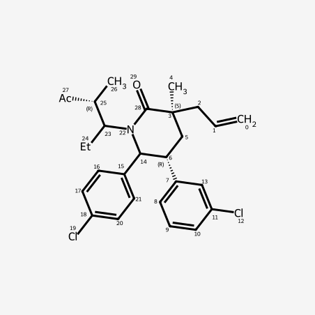 C=CC[C@@]1(C)C[C@H](c2cccc(Cl)c2)C(c2ccc(Cl)cc2)N(C(CC)[C@@H](C)C(C)=O)C1=O